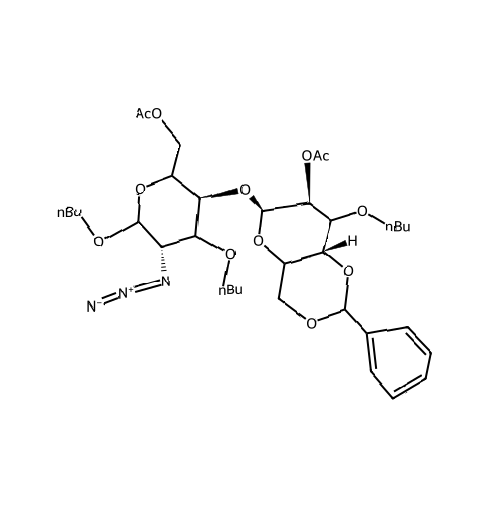 CCCCOC1OC(COC(C)=O)[C@@H](O[C@@H]2OC3COC(c4ccccc4)O[C@H]3C(OCCCC)[C@@H]2OC(C)=O)C(OCCCC)[C@@H]1N=[N+]=[N-]